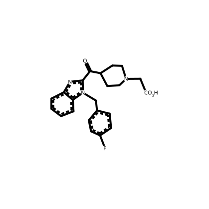 O=C(O)CN1CCC(C(=O)c2nc3ccccc3n2Cc2ccc(F)cc2)CC1